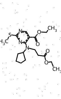 CCOC(=O)CCN(c1nc(SC)ncc1C(=O)OCC)C1CCCC1